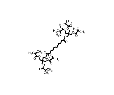 C=C(C)C(=O)OCC(COC(=O)CCCCCCCCC(=O)OCC(COC(=O)C(=C)C)(COC(=O)C(=C)C)COC(=O)C(=C)C)(COC(=O)C(=C)C)COC(=O)C(=C)C